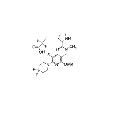 COc1nc(N2CCC(F)(F)CC2)c(F)cc1CN(C)C(=O)C1CCCN1.O=C(O)C(F)(F)F